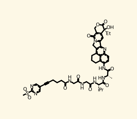 CC[C@@]1(O)C(=O)OCc2c1cc1n(c2=O)Cc2c-1nc1ccc(NC(=O)[C@H](C)NC(=O)[C@@H](NC(=O)CNC(=O)CNC(=O)CCCC#Cc3cnc(S(C)(=O)=O)nc3)C(C)C)c3c1c2CCC3